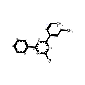 C/C=C\C(=C/CC)c1nc(O)nc(-c2ccccc2)n1